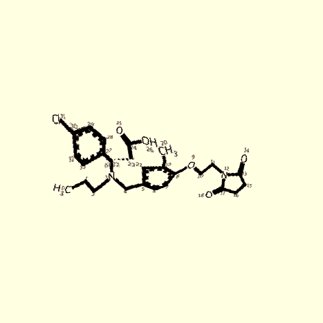 CCCN(Cc1ccc(OCCN2C(=O)CCC2=O)c(C)c1)[C@@H](CC(=O)O)c1ccc(Cl)cc1